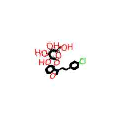 OC[C@H]1O[C@@H](Oc2cccc3occ(CCc4ccc(Cl)cc4)c23)[C@H](O)[C@@H](O)[C@@H]1O